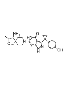 C[C@@H]1OCC2(CCN(c3nc4[nH]nc(C5(c6ccc(O)cc6)CC5)c4c(=O)[nH]3)CC2)[C@@H]1N